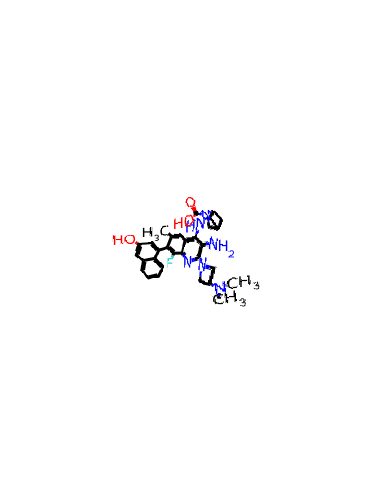 Cc1cc2c(NC3C4CC3N(C(=O)O)C4)c(N)c(N3CC(N(C)C)C3)nc2c(F)c1-c1cc(O)cc2ccccc12